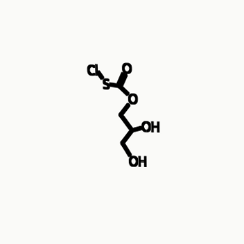 O=C(OCC(O)CO)SCl